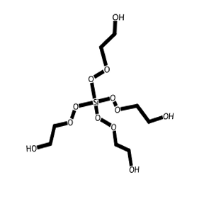 OCCOO[Si](OOCCO)(OOCCO)OOCCO